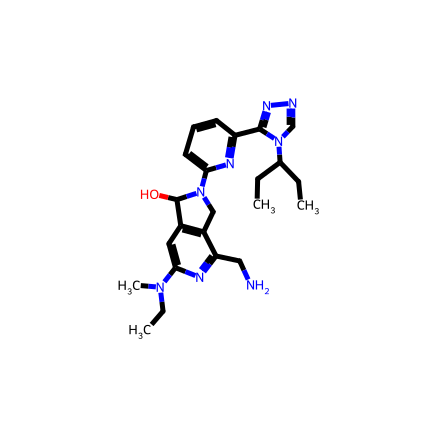 CCC(CC)n1cnnc1-c1cccc(N2Cc3c(cc(N(C)CC)nc3CN)C2O)n1